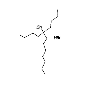 Br.CCCCCCC[C]([Sn])(CCCC)CCCC